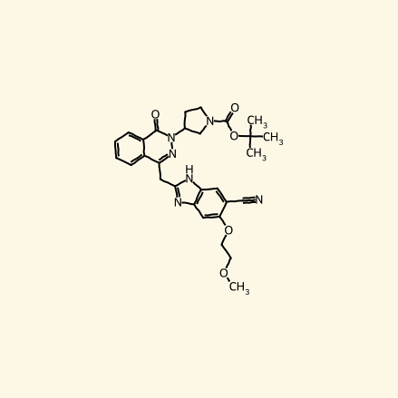 COCCOc1cc2nc(Cc3nn(C4CCN(C(=O)OC(C)(C)C)C4)c(=O)c4ccccc34)[nH]c2cc1C#N